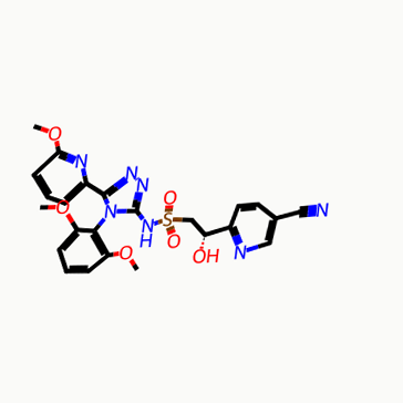 COc1cccc(-c2nnc(NS(=O)(=O)C[C@@H](O)c3ccc(C#N)cn3)n2-c2c(OC)cccc2OC)n1